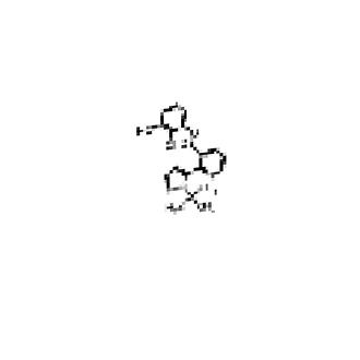 BC(C)(C)n1nccc1-c1ncccc1COc1cccc(O)c1C=O